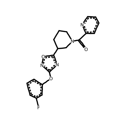 O=C(c1ccccn1)N1CCCC(c2nc(Oc3cccc(F)c3)no2)C1